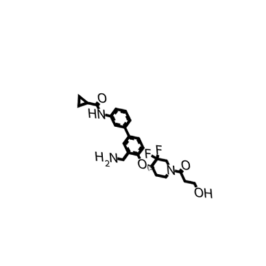 NCc1cc(-c2cccc(NC(=O)C3CC3)c2)ccc1O[C@H]1CCN(C(=O)CCO)CC1(F)F